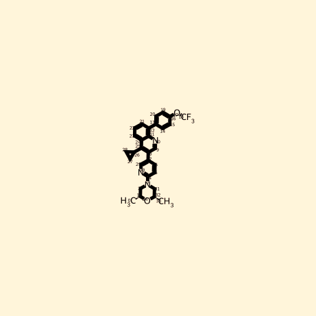 C[C@@H]1CN(c2ccc(-c3cnc4c(-c5ccc(OC(F)(F)F)cc5)cccc4c3C3CC3)cn2)C[C@H](C)O1